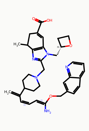 C=C(/C=C\C=C(/N)OCc1ccc2cccnc2c1)C1CCN(Cc2nc3c(n2C[C@@H]2CCO2)C=C(C(=O)O)CC3C)CC1